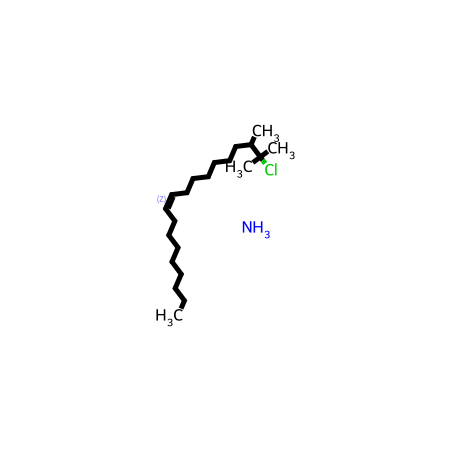 CCCCCCCC/C=C\CCCCCCC(C)C(C)(C)Cl.N